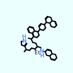 CCC(CCC(C)C1=CNCC1)C(CCC(C)C1=C2C=CC=CC2C(C2C=CC(C3C=CCC4C=CCCC43)CC2)CC1)CNC1C=CC2CCC=CC2C1